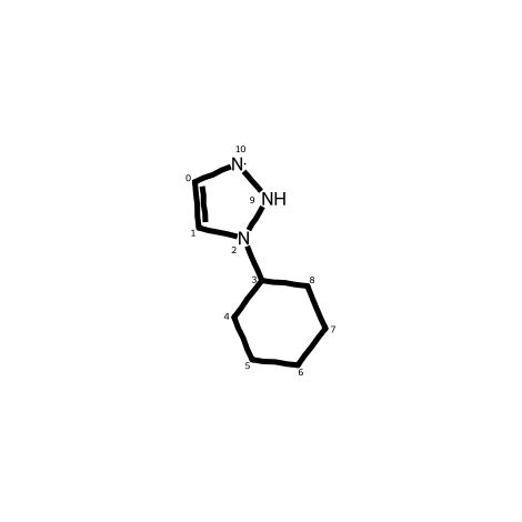 C1=CN(C2CCCCC2)N[N]1